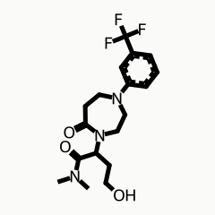 CN(C)C(=O)C(CCO)N1CCN(c2cccc(C(F)(F)F)c2)CCC1=O